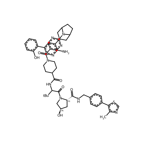 Cc1ncsc1-c1ccc(CNC(=O)[C@@H]2C[C@@H](O)CN2C(=O)C(NC(=O)C2CCN(C(=O)c3cnc(N4C5CCC4CN(c4cc(-c6ccccc6O)nnc4N)C5)nc3)CC2)C(C)(C)C)cc1